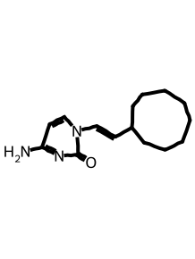 Nc1ccn(C=CC2CCCCCCCC2)c(=O)n1